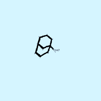 O=CC12CCCC(CCC1)C2